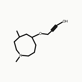 CC1CCN(C)CCCC(OCC#CO)C1